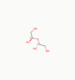 OC[C@H](O)O[C@@H](O)CO